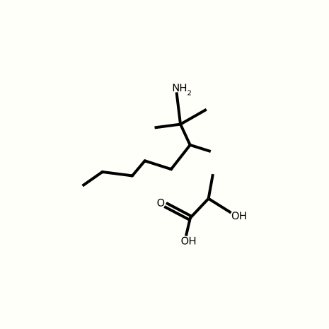 CC(O)C(=O)O.CCCCCC(C)C(C)(C)N